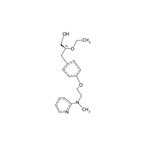 CCO[C@H](CO)Cc1ccc(OCCN(C)c2ccccn2)cc1